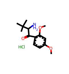 COc1ccc(C(=O)C(N)C(C)(C)C)c(OC)c1.Cl